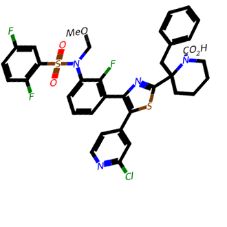 COCN(c1cccc(-c2nc(C3(Cc4ccccc4)CCCCN3C(=O)O)sc2-c2ccnc(Cl)c2)c1F)S(=O)(=O)c1cc(F)ccc1F